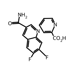 NC(=O)c1cnc2cc(F)c(F)cc2c1.O=C(O)c1ccccn1